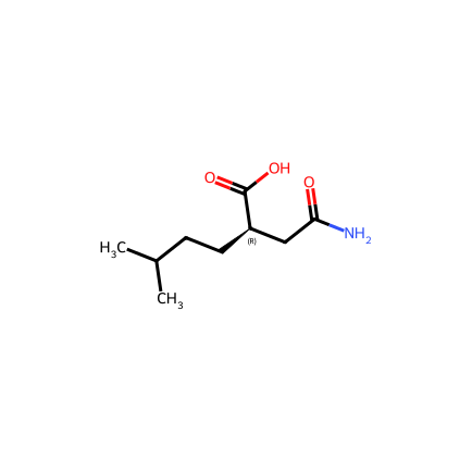 CC(C)CC[C@H](CC(N)=O)C(=O)O